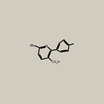 Cc1ccc(-c2nc(C(C)(C)C)ccc2C(=O)O)cc1